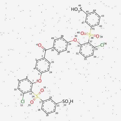 O=C(c1ccc(Oc2cccc(Cl)c2S(=O)(=O)c2cccc(S(=O)(=O)O)c2)cc1)c1ccc(Oc2cccc(Cl)c2S(=O)(=O)c2cccc(S(=O)(=O)O)c2)cc1